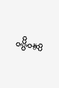 c1ccc(N2c3ccccc3N(c3ccc(-c4nc5c(o4)-c4cccc6cccc-5c46)cc3)c3cc4ccccc4cc32)cc1